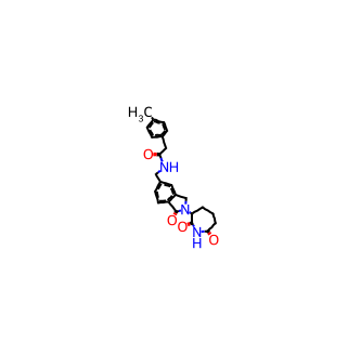 Cc1ccc(CC(=O)NCc2ccc3c(c2)CN(C2CCCC(=O)NC2=O)C3=O)cc1